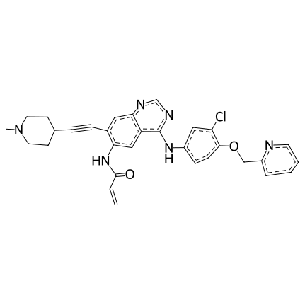 C=CC(=O)Nc1cc2c(Nc3ccc(OCc4ccccn4)c(Cl)c3)ncnc2cc1C#CC1CCN(C)CC1